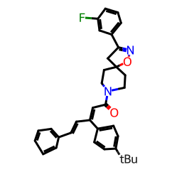 CC(C)(C)c1ccc(C(=C\C(=O)N2CCC3(CC2)CC(c2cccc(F)c2)=NO3)/C=C/c2ccccc2)cc1